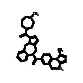 COc1cc(C(=O)N2Cc3ccc(C(=O)N4CCCN(C)CC4)n3Cc3ccccc32)ccc1-n1c(C)ccc1C